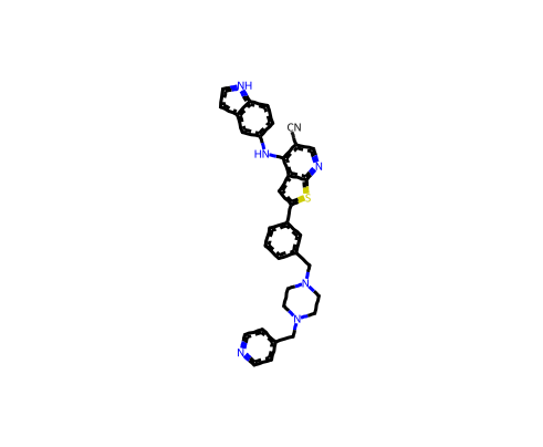 N#Cc1cnc2sc(-c3cccc(CN4CCN(Cc5ccncc5)CC4)c3)cc2c1Nc1ccc2[nH]ccc2c1